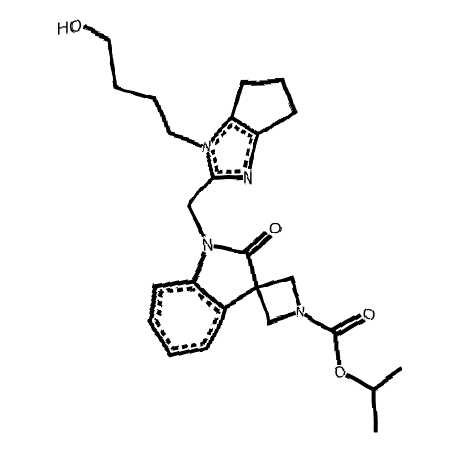 CC(C)OC(=O)N1CC2(C1)C(=O)N(Cc1nc3c(n1CCCCO)CCC3)c1ccccc12